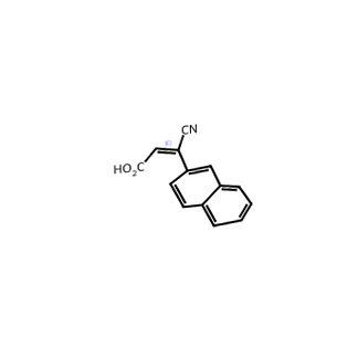 N#C/C(=C/C(=O)O)c1ccc2ccccc2c1